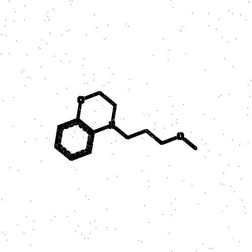 COCCCN1CCOc2ccccc21